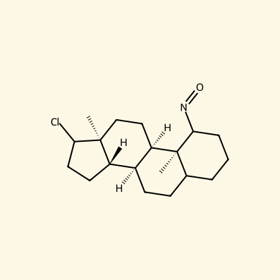 C[C@@]12C(CCCC1N=O)CC[C@@H]1[C@H]2CC[C@]2(C)C(Cl)CC[C@@H]12